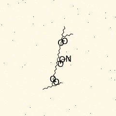 CCCCCC(CCCCC)CC(=O)OCCCCCCCCC(CCCCCCCCOC(=O)CC(CCCCC)CCCCC)C(=O)OCCN(C)C